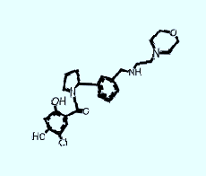 O=C(c1cc(Cl)c(O)cc1O)N1CCCC1c1cccc(CNCCN2CCOCC2)c1